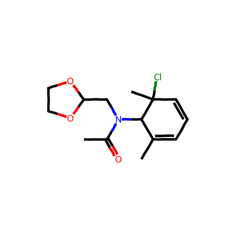 CC(=O)N(CC1OCCO1)C1C(C)=CC=CC1(C)Cl